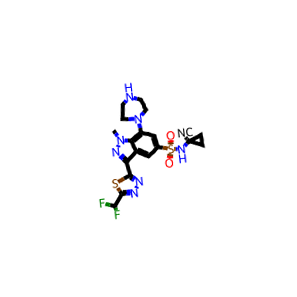 Cn1nc(-c2nnc(C(F)F)s2)c2cc(S(=O)(=O)NC3(C#N)CC3)cc(N3CCNCC3)c21